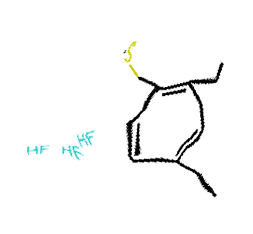 Cc1ccc([S])c(C)c1.F.F.F